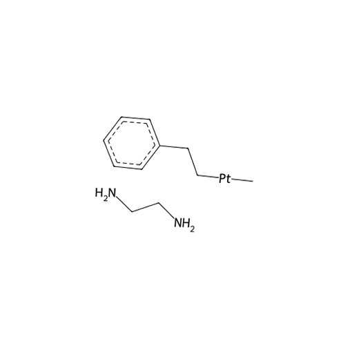 NCCN.[CH3][Pt][CH2]Cc1ccccc1